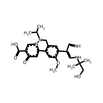 COc1cc2c(cc1/C(C=N)=C/NC(C)(C)CO)CN(C(C)C)n1cc(C(=O)O)c(=O)cc1-2